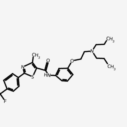 CCCN(CCC)CCOc1cccc(NC(=O)c2sc(-c3ccc(C(F)(F)F)cc3)nc2C)c1